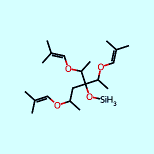 CC(C)=COC(C)CC(O[SiH3])(C(C)OC=C(C)C)C(C)OC=C(C)C